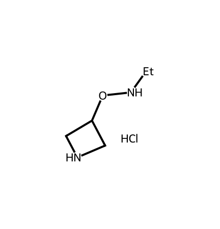 CCNOC1CNC1.Cl